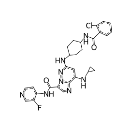 O=C(NC1CCC(Nc2cc(NC3CC3)c3ncc(C(=O)Nc4ccncc4F)n3n2)CC1)c1ccccc1Cl